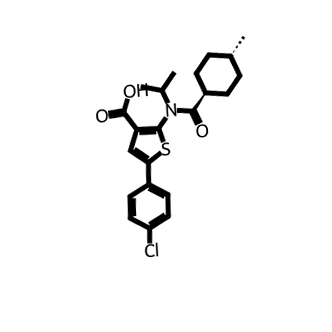 CC(C)N(c1sc(-c2ccc(Cl)cc2)cc1C(=O)O)C(=O)[C@H]1CC[C@H](C)CC1